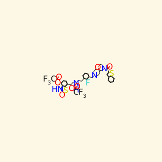 O=C(c1cc2ccccc2s1)N1CCOC2(CCN(Cc3cccc(CCNCC(OC(=O)C(F)(F)F)c4ccc(OC(=O)C(F)(F)F)c5[nH]c(=O)sc45)c3F)CC2)C1